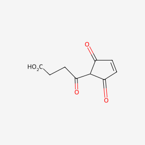 O=C(O)CCC(=O)C1C(=O)C=CC1=O